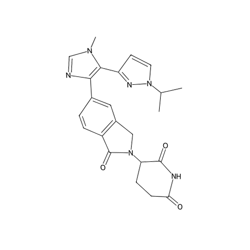 CC(C)n1ccc(-c2c(-c3ccc4c(c3)CN(C3CCC(=O)NC3=O)C4=O)ncn2C)n1